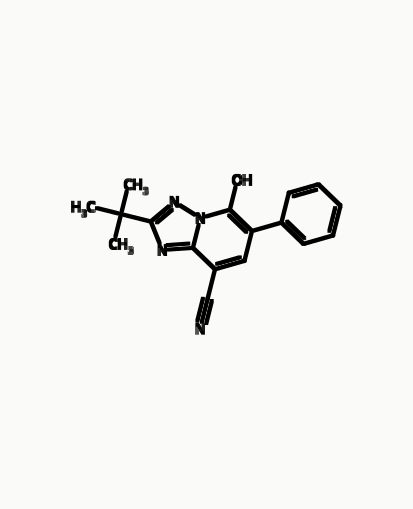 CC(C)(C)c1nc2c(C#N)cc(-c3ccccc3)c(O)n2n1